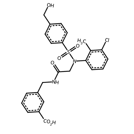 Cc1c(Cl)cccc1N(CC(=O)NCc1cccc(C(=O)O)c1)S(=O)(=O)c1ccc(CO)cc1